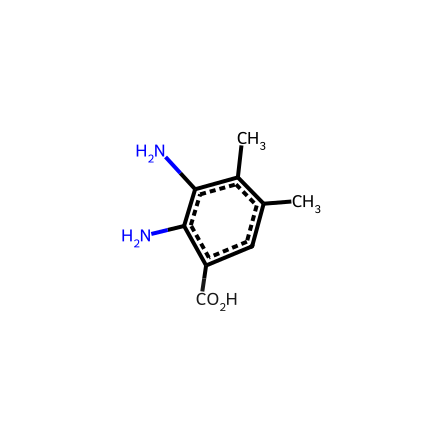 Cc1cc(C(=O)O)c(N)c(N)c1C